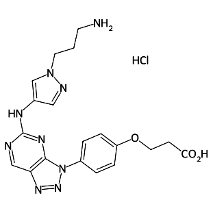 Cl.NCCCn1cc(Nc2ncc3nnn(-c4ccc(OCCC(=O)O)cc4)c3n2)cn1